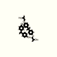 CC(O)COc1ccc(C(C)(C)c2ccc(OCC(C)O)cc2)cc1.CC(c1ccc(O)cc1)c1ccc(O)cc1